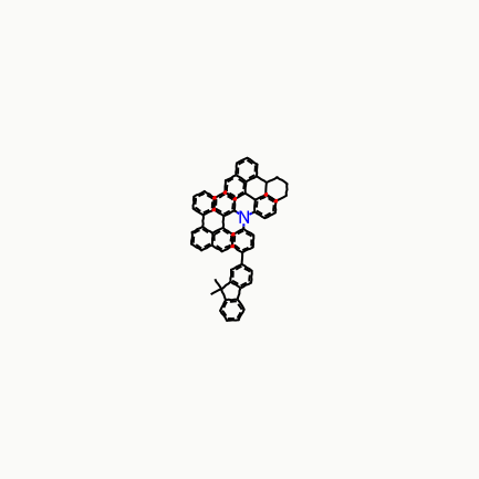 CC1(C)c2ccccc2-c2ccc(-c3ccc(N(c4ccccc4-c4cccc5cccc(-c6ccccc6)c45)c4ccccc4-c4cccc5cccc(C6CCCCC6)c45)cc3)cc21